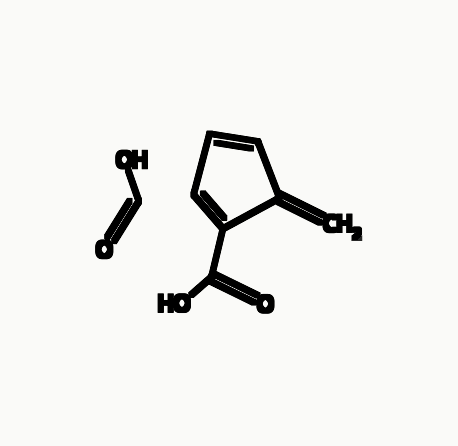 C=C1C=CC=C1C(=O)O.O=CO